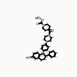 CC(C)(C)OC(=O)N1CCC2(CC1)OC2N1CCN(c2ccc([C@@H]3c4ccc(O)cc4CCC3c3ccccc3)cc2)CC1